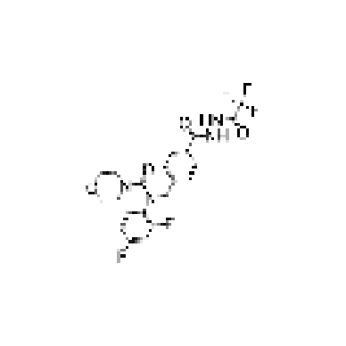 O=C(NNC(=O)C(F)(F)F)c1ccc(CN(C(=O)N2CCOCC2)c2ccc(F)cc2F)cc1